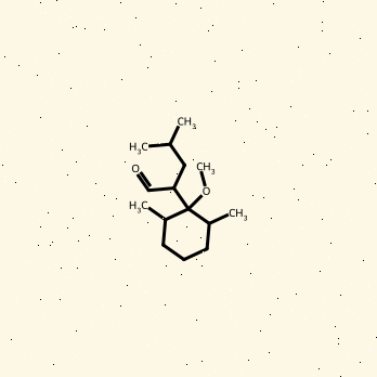 COC1(C(C=O)CC(C)C)C(C)CCCC1C